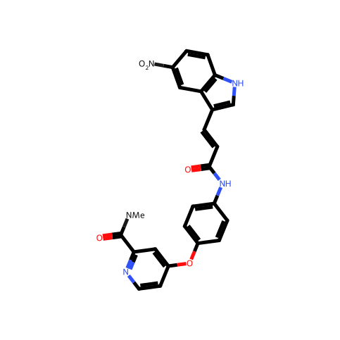 CNC(=O)c1cc(Oc2ccc(NC(=O)C=Cc3c[nH]c4ccc([N+](=O)[O-])cc34)cc2)ccn1